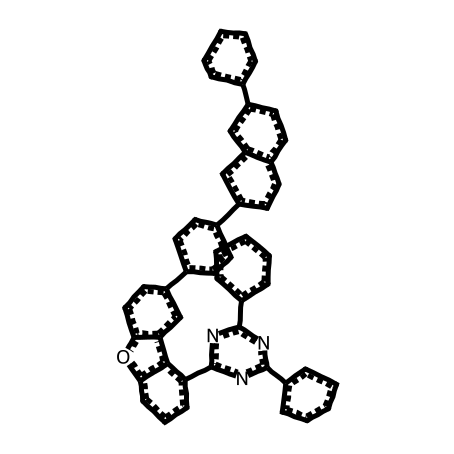 c1ccc(-c2ccc3ccc(-c4ccc(-c5ccc6oc7cccc(-c8nc(-c9ccccc9)nc(-c9ccccc9)n8)c7c6c5)cc4)cc3c2)cc1